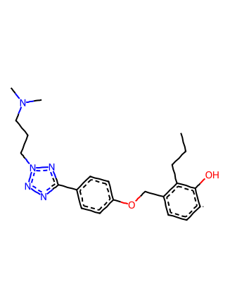 CCCc1c(O)[c]ccc1COc1ccc(-c2nnn(CCCN(C)C)n2)cc1